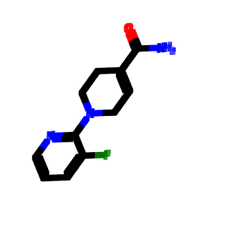 NC(=O)C1=CCN(c2ncccc2F)CC1